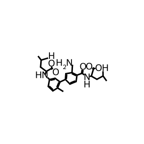 Cc1ccc(NC(CC(C)C)C(=O)O)cc1-c1ccc(C(=O)NC(CC(C)C)C(=O)O)c(CN)c1